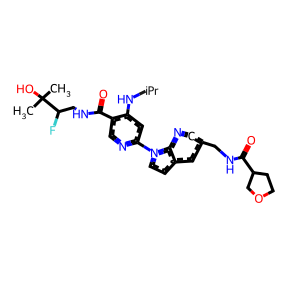 CC(C)Nc1cc(-n2ccc3cc(CNC(=O)C4CCOC4)cnc32)ncc1C(=O)NCC(F)C(C)(C)O